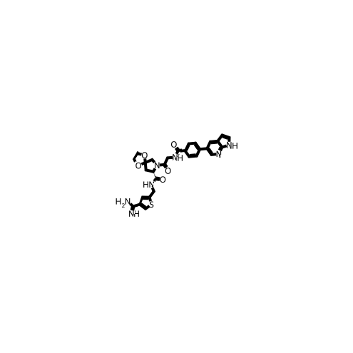 N=C(N)c1csc(CNC(=O)[C@@H]2CC3(CN2C(=O)CNC(=O)c2ccc(-c4cnc5[nH]ccc5c4)cc2)OCCO3)c1